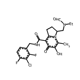 CCN(C=O)CC1CCc2c(C(=O)NCc3ccc(F)c(Cl)c3F)c(=O)c(O)c(C)n21